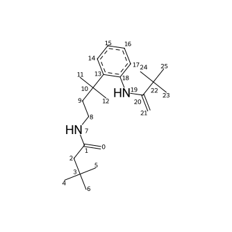 C=C(CC(C)(C)C)NCCC(C)(C)c1ccccc1NC(=C)C(C)(C)C